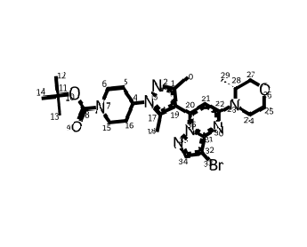 Cc1nn(C2CCN(C(=O)OC(C)(C)C)CC2)c(C)c1-c1cc(N2CCOC[C@H]2C)nc2c(Br)cnn12